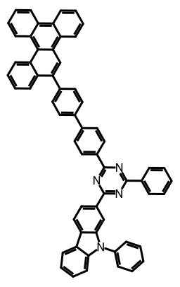 c1ccc(-c2nc(-c3ccc(-c4ccc(-c5cc6c7ccccc7c7ccccc7c6c6ccccc56)cc4)cc3)nc(-c3ccc4c5ccccc5n(-c5ccccc5)c4c3)n2)cc1